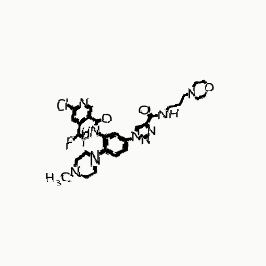 CN1CCN(c2ccc(-n3cc(C(=O)NCCCN4CCOCC4)nn3)cc2NC(=O)c2cnc(Cl)cc2C(F)F)CC1